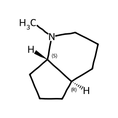 CN1CCC[C@H]2CCC[C@@H]21